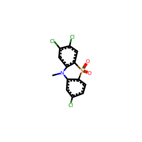 CN1c2cc(Cl)ccc2S(=O)(=O)c2cc(Cl)c(Cl)cc21